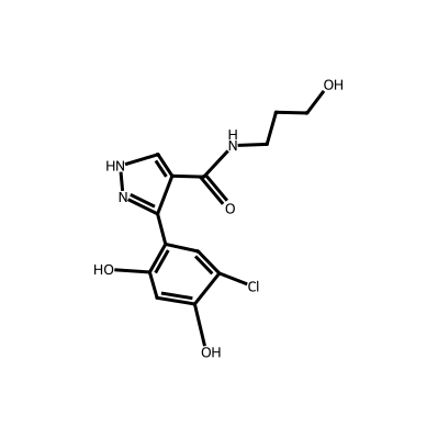 O=C(NCCCO)c1c[nH]nc1-c1cc(Cl)c(O)cc1O